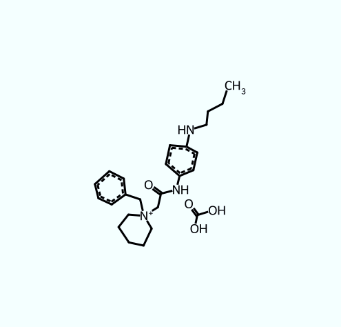 CCCCNc1ccc(NC(=O)C[N+]2(Cc3ccccc3)CCCCC2)cc1.O=C(O)O